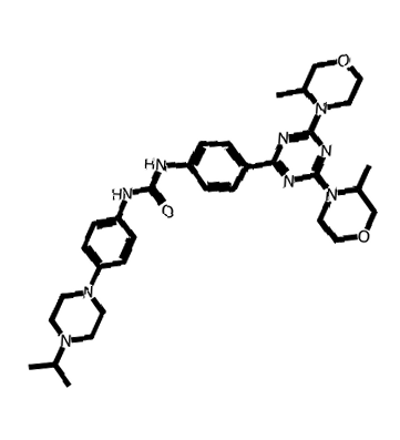 CC(C)N1CCN(c2ccc(NC(=O)Nc3ccc(-c4nc(N5CCOCC5C)nc(N5CCOCC5C)n4)cc3)cc2)CC1